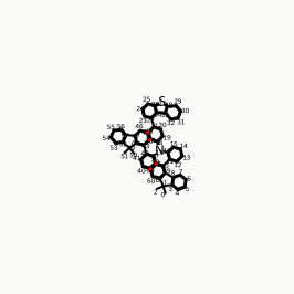 CC1(C)c2ccccc2-c2c(-c3ccccc3N(c3ccc(-c4cccc5sc6ccccc6c45)cc3)c3ccccc3-c3cccc4c3C(C)(C)c3ccccc3-4)cccc21